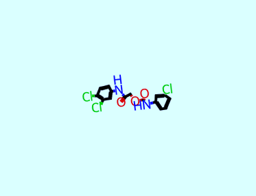 O=C(COC(=O)Nc1cccc(Cl)c1)Nc1ccc(Cl)c(Cl)c1